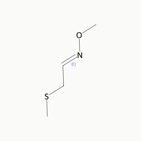 CO/N=C/CSC